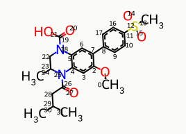 COc1cc2c(cc1-c1ccc(S(C)(=O)=O)cc1)N(C(=O)O)CC(C)N2C(=O)CC(C)C